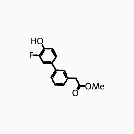 COC(=O)Cc1cccc(-c2ccc(O)c(F)c2)c1